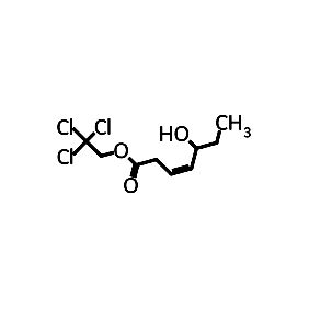 CCC(O)/C=C\CC(=O)OCC(Cl)(Cl)Cl